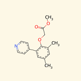 COC(=O)COc1c(C)cc(C)cc1-c1ccncc1